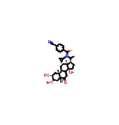 CC([C@H]1CC[C@@]2(O)C3=CC(=O)[C@@H]4C[C@@H](O)[C@@H](O)C[C@]4(C)C3CC[C@]12C)N(C(=O)c1ccc(C#N)cc1)C1CC1